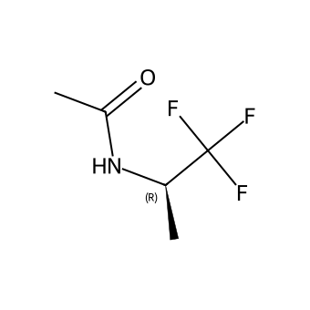 CC(=O)N[C@H](C)C(F)(F)F